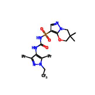 CC(C)c1nn(CC(F)(F)F)c(C(C)C)c1NC(=O)NS(=O)(=O)c1cnn2c1OCC(C)(C)C2